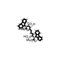 COC(=O)N(C1c2ccccc2-c2ccccc21)[C@@H](CCCCC[C@@H](C(=O)O)N(C(=O)OC)C1c2ccccc2-c2ccccc21)C(=O)O